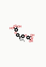 CCC(c1ccc(Oc2ccc(C(=O)O)c(C(=O)O)c2)cc1)c1ccc(Oc2ccc(C(=O)O)c(C(=O)O)c2)cc1